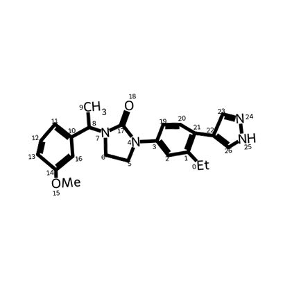 CCc1cc(N2CCN(C(C)c3cccc(OC)c3)C2=O)ccc1-c1cn[nH]c1